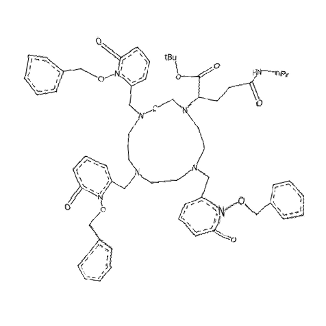 CCCNC(=O)CCC(C(=O)OC(C)(C)C)N1CCN(Cc2cccc(=O)n2OCc2ccccc2)CCN(Cc2cccc(=O)n2OCc2ccccc2)CCN(Cc2cccc(=O)n2OCc2ccccc2)CC1